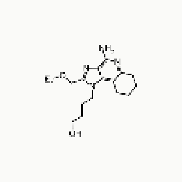 CCOCc1nc2c(N)nc3c(c2n1CCCCO)CCCC3